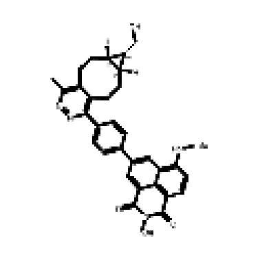 CCCCNc1ccc2c3c(cc(-c4ccc(-c5nnc(C)c6c5CC[C@H]5[C@@H](CO)[C@H]5CC6)cc4)cc13)C(=O)N(CCCC)C2=O